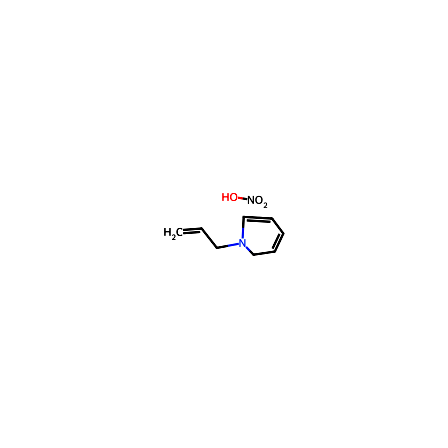 C=CCN1C=CC=CC1.O=[N+]([O-])O